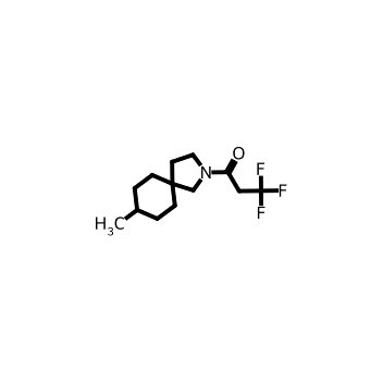 CC1CCC2(CC1)CCN(C(=O)CC(F)(F)F)C2